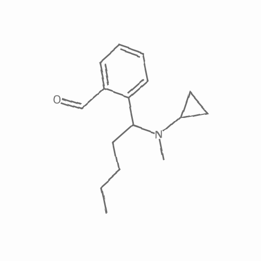 CCCCC(c1ccccc1C=O)N(C)C1CC1